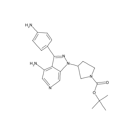 CC(C)(C)OC(=O)N1CCC(n2nc(-c3ccc(N)cc3)c3c(N)cncc32)C1